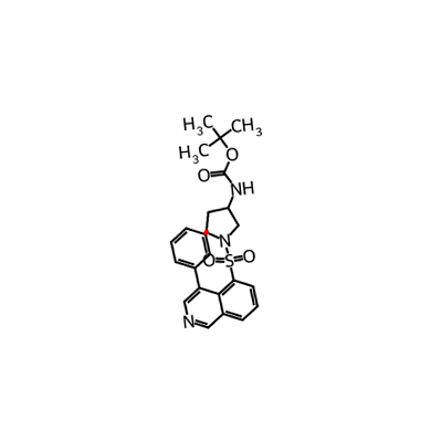 CC(C)(C)OC(=O)NC1CCN(S(=O)(=O)c2cccc3cncc(-c4ccccc4)c23)C1